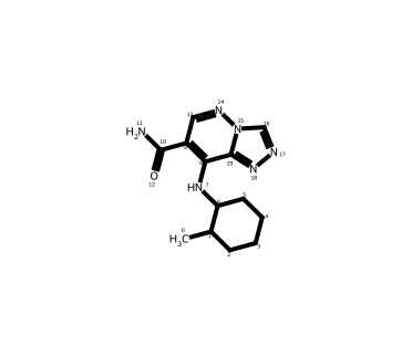 CC1CCCCC1Nc1c(C(N)=O)cnn2cnnc12